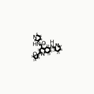 O=C(Nc1cccnc1)c1cc(-c2ccco2)nc2ccc(Nc3ccccn3)cc12